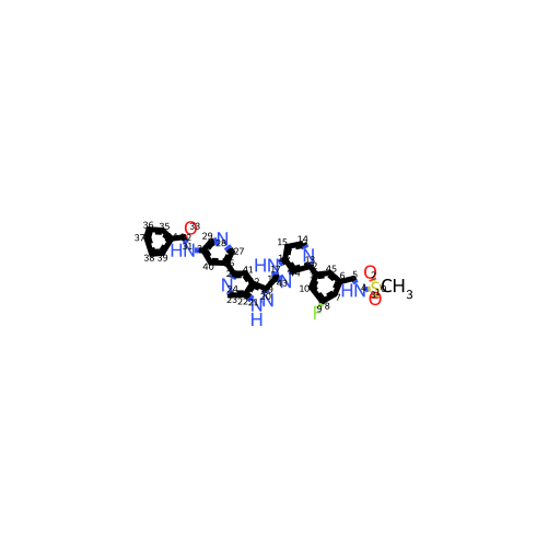 CS(=O)(=O)NCc1cc(F)cc(-c2nccc3[nH]c(-c4n[nH]c5cnc(-c6cncc(NC(=O)c7ccccc7)c6)cc45)nc23)c1